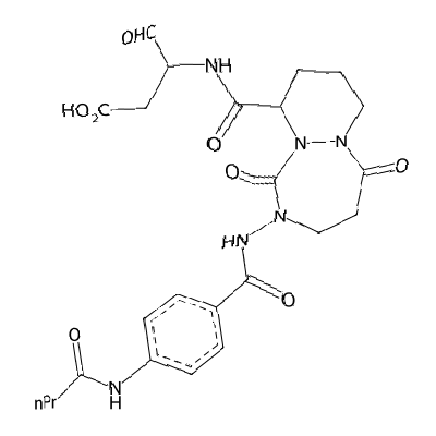 CCCC(=O)Nc1ccc(C(=O)NN2CCC(=O)N3CCCC(C(=O)NC(C=O)CC(=O)O)N3C2=O)cc1